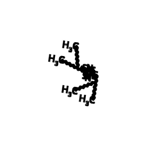 CCCCCCCCCCC(CCCCCCCC)Cc1csc(-c2c3ncsc3c(-c3cc(CC(CCCCCCCC)CCCCCCCCCC)cs3)c3ncsc23)c1